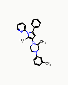 Cc1c(N2CCN(c3cccc(C(F)(F)F)c3)CC2C)cc(-c2ccccc2)n1-c1ccccn1